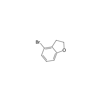 Brc1cccc2c1CCO2